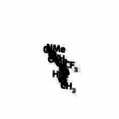 CNC(=O)c1ccc(NCC#Cc2cc3c(N[C@@H]4CCN(C)C[C@@H]4F)cccc3n2CC(F)(F)F)c(OC)c1